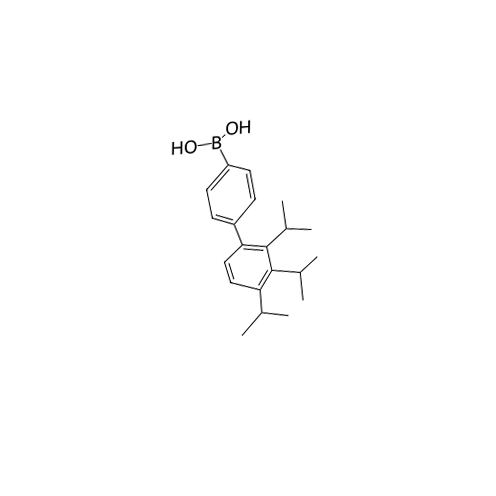 CC(C)c1ccc(-c2ccc(B(O)O)cc2)c(C(C)C)c1C(C)C